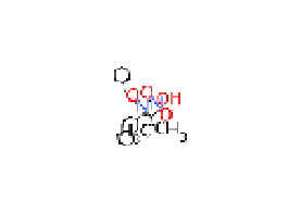 CC(C)c1c(-c2ccc3ccccc3c2)n(COCc2ccccc2)c(=O)n(O)c1=O